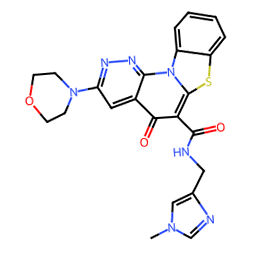 Cn1cnc(CNC(=O)c2c(=O)c3cc(N4CCOCC4)nnc3n3c2sc2ccccc23)c1